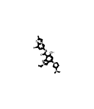 CCn1cc2c(N3CCC(N(C)C)C3)cc(O)c(C(=O)Nc3cc(F)c4nc(C)cn4c3)c2n1